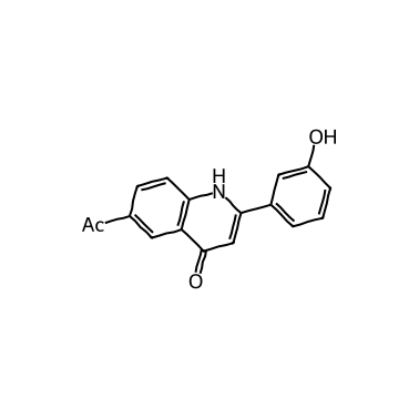 CC(=O)c1ccc2[nH]c(-c3cccc(O)c3)cc(=O)c2c1